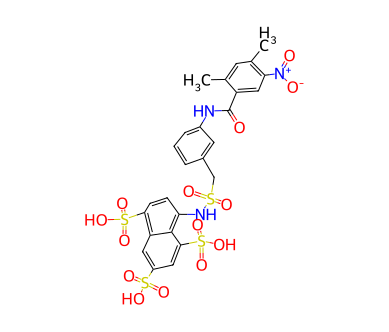 Cc1cc(C)c([N+](=O)[O-])cc1C(=O)Nc1cccc(CS(=O)(=O)Nc2ccc(S(=O)(=O)O)c3cc(S(=O)(=O)O)cc(S(=O)(=O)O)c23)c1